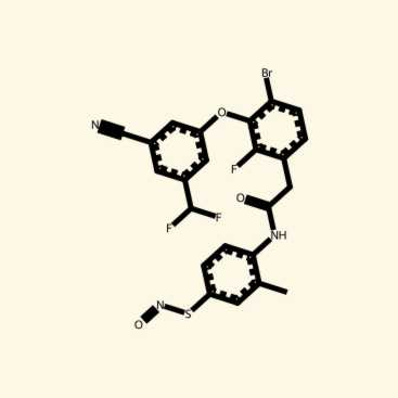 Cc1cc(SN=O)ccc1NC(=O)Cc1ccc(Br)c(Oc2cc(C#N)cc(C(F)F)c2)c1F